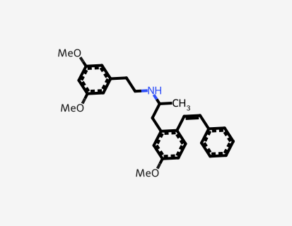 COc1cc(CCNC(C)Cc2cc(OC)ccc2/C=C\c2ccccc2)cc(OC)c1